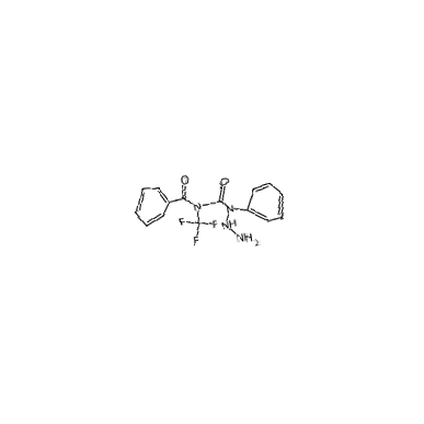 NNN(C(=O)N(C(=O)c1ccccc1)C(F)(F)F)c1ccccc1